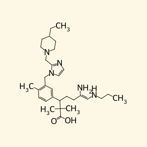 CCCN/C=C(\N)CCC(c1ccc(C)c(Cn2ccnc2CN2CCC(CC)CC2)c1)C(C)(C)C(=O)O